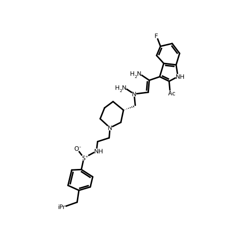 CC(=O)c1[nH]c2ccc(F)cc2c1/C(N)=C/N(N)C[C@H]1CCCN(CCN[S+]([O-])c2ccc(CC(C)C)cc2)C1